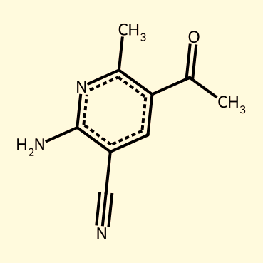 CC(=O)c1cc(C#N)c(N)nc1C